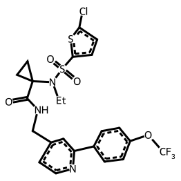 CCN(C1(C(=O)NCc2ccnc(-c3ccc(OC(F)(F)F)cc3)c2)CC1)S(=O)(=O)c1ccc(Cl)s1